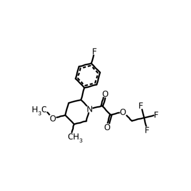 COC1CC(c2ccc(F)cc2)N(C(=O)C(=O)OCC(F)(F)F)CC1C